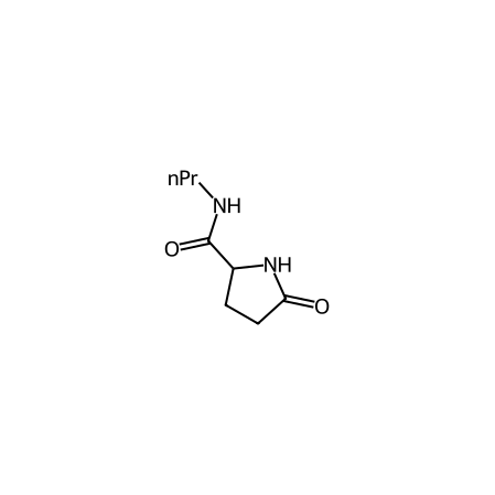 CCCNC(=O)C1CCC(=O)N1